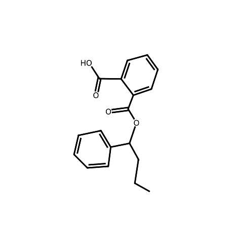 CCCC(OC(=O)c1ccccc1C(=O)O)c1ccccc1